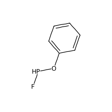 FPOc1ccccc1